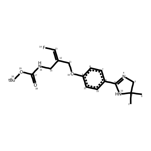 CC1(C)CN=C(c2ccc(OC/C(=C/F)CNC(=O)OC(C)(C)C)cc2)N1